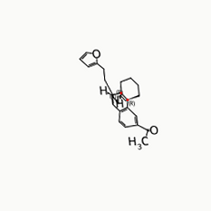 CC(=O)c1ccc2c(c1)[C@@]13CCCC[C@H]1[C@@H](C2)N(CCc1ccco1)CC3